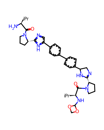 CC(C)[C@H](N)C(=O)N1CCC[C@H]1c1ncc(-c2ccc(-c3ccc(C4CN=C([C@@H]5CCCN5C(=O)[C@@H](NC5OCO5)C(C)C)N4)cc3)cc2)[nH]1